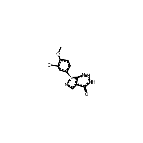 COc1ccc(-n2ncc3c(=O)[nH]nnc32)cc1Cl